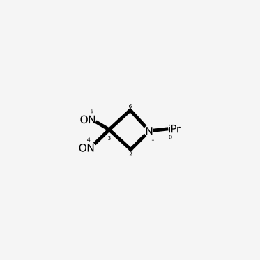 CC(C)N1CC(N=O)(N=O)C1